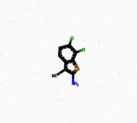 N#Cc1c(N)sc2c(Cl)c(Cl)ccc12